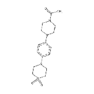 CC(=O)N1CCN(c2ccc(N3CCS(=O)(=O)CC3)cc2)CC1